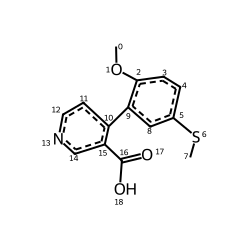 COc1ccc(SC)cc1-c1ccncc1C(=O)O